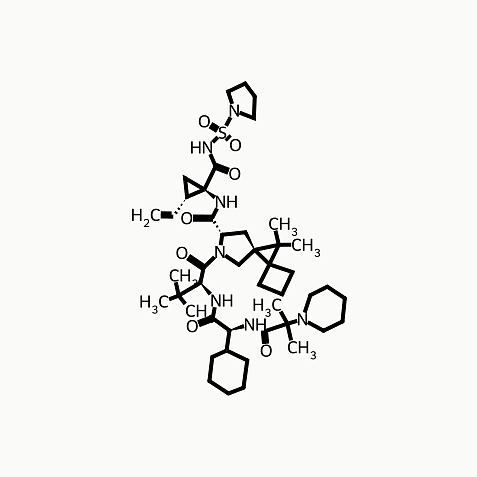 C=C[C@@H]1C[C@]1(NC(=O)[C@@H]1C[C@@]2(CN1C(=O)[C@@H](NC(=O)[C@@H](NC(=O)C(C)(C)N1CCCCC1)C1CCCCC1)C(C)(C)C)C(C)(C)C21CCC1)C(=O)NS(=O)(=O)N1CCCC1